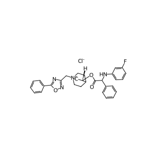 O=C(O[C@H]1C[N+]2(Cc3noc(-c4ccccc4)n3)CCC1CC2)C(Nc1cccc(F)c1)c1ccccc1.[Cl-]